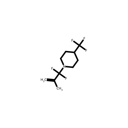 C=C(C)C(F)(F)N1CCC(C(F)(F)F)CC1